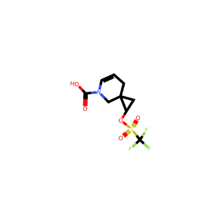 O=C(O)N1C=CCC2(CC2OS(=O)(=O)C(F)(F)F)C1